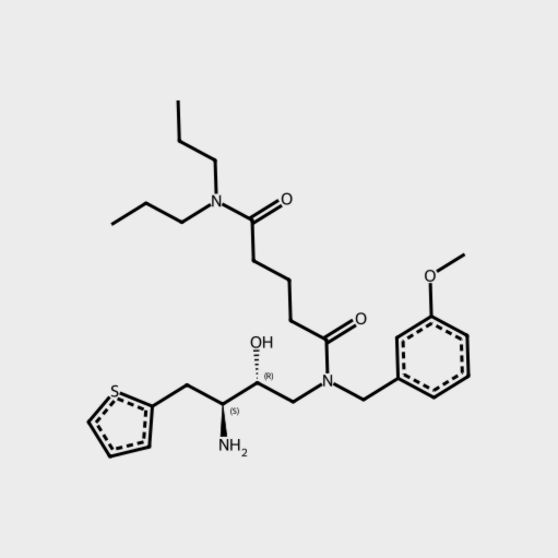 CCCN(CCC)C(=O)CCCC(=O)N(Cc1cccc(OC)c1)C[C@@H](O)[C@@H](N)Cc1cccs1